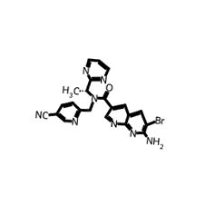 C[C@H](c1ncccn1)N(Cc1ccc(C#N)cn1)C(=O)c1cnc2nc(N)c(Br)cc2c1